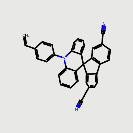 C=Cc1ccc(N2c3ccccc3C3(c4cc(C#N)ccc4-c4ccc(C#N)cc43)c3ccccc32)cc1